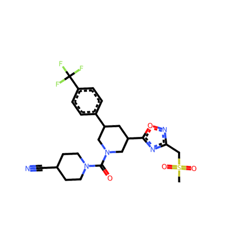 CS(=O)(=O)Cc1noc(C2CC(c3ccc(C(F)(F)F)cc3)CN(C(=O)N3CCC(C#N)CC3)C2)n1